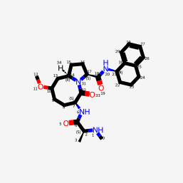 CN[C@@H](C)C(=O)N[C@H]1CCC(OC)C[C@H]2CC[C@@H](C(=O)N[C@@H]3CCCc4ccccc43)N2C1=O